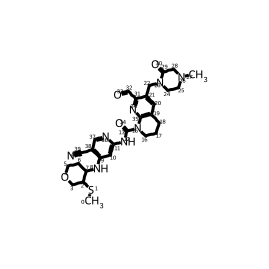 CSC1COCCC1Nc1cc(NC(=O)N2CCCc3cc(CN4CCN(C)CC4=O)c(C=O)nc32)ncc1C#N